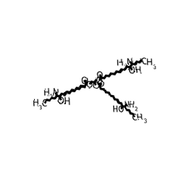 CCCCCC(N)C(O)CC=CCCCCCCCC(=O)OCC(COC(=O)CCCCCCCC=CCC(O)C(N)CCCCC)OC(=O)CCCCCCCC=CCC(O)C(N)CCCCC